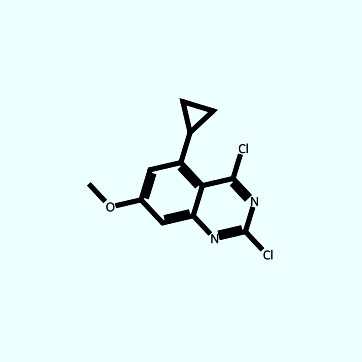 COc1cc(C2CC2)c2c(Cl)nc(Cl)nc2c1